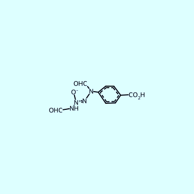 O=CN[N+]([O-])=NN(C=O)c1ccc(C(=O)O)cc1